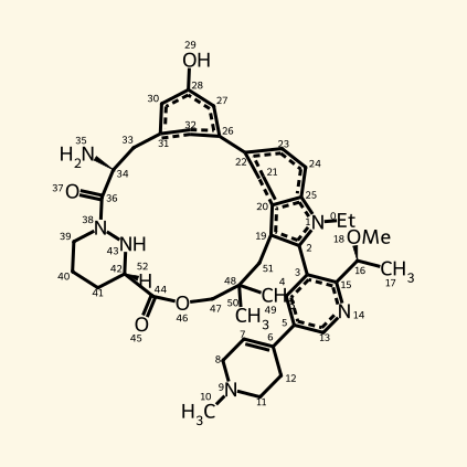 CCn1c(-c2cc(C3=CCN(C)CC3)cnc2[C@H](C)OC)c2c3cc(ccc31)-c1cc(O)cc(c1)C[C@H](N)C(=O)N1CCC[C@H](N1)C(=O)OCC(C)(C)C2